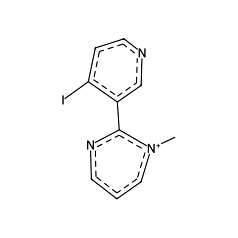 C[n+]1cccnc1-c1cnccc1I